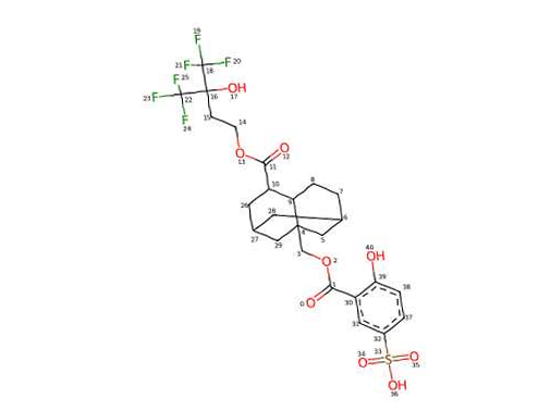 O=C(OCC12CC3CCC1C(C(=O)OCCC(O)(C(F)(F)F)C(F)(F)F)CC(C3)C2)c1cc(S(=O)(=O)O)ccc1O